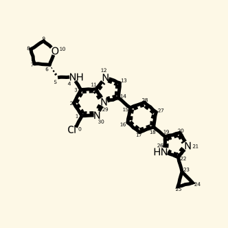 Clc1cc(NC[C@@H]2CCCO2)c2ncc(-c3ccc(-c4cnc(C5CC5)[nH]4)cc3)n2n1